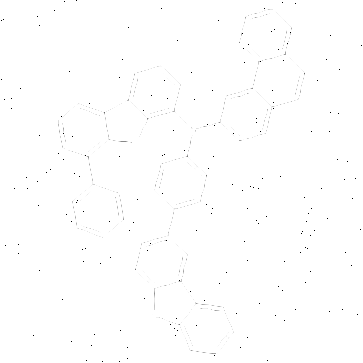 c1ccc(-c2cccc3c2sc2c(N(c4ccc(-c5ccc6sc7ccccc7c6c5)cc4)c4ccc5ccc6ccccc6c5c4)cccc23)cc1